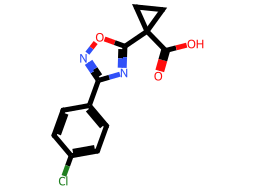 O=C(O)C1(c2nc(-c3ccc(Cl)cc3)no2)CC1